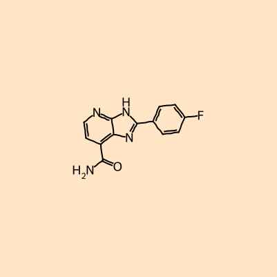 NC(=O)c1ccnc2[nH]c(-c3ccc(F)cc3)nc12